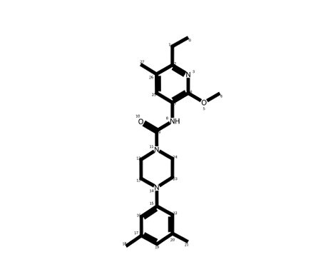 CCc1nc(OC)c(NC(=O)N2CCN(c3cc(C)cc(C)c3)CC2)cc1C